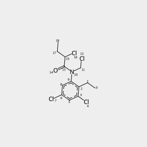 CCc1c(Cl)cc(Cl)cc1N(CCl)C(=O)C(Cl)CC